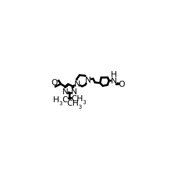 CC(C)(C)c1nc(C2COC2)cc(N2CCCN(CCC3CCC(NC=O)CC3)CC2)n1